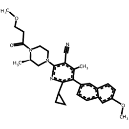 COCCC(=O)N1CCN(c2nc(C3CC3)c(-c3ccc4cc(OC)ccc4c3)c(C)c2C#N)C[C@H]1C